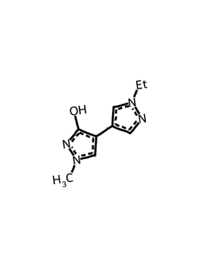 CCn1cc(-c2cn(C)nc2O)cn1